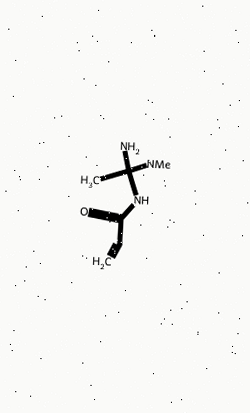 C=CC(=O)NC(C)(N)NC